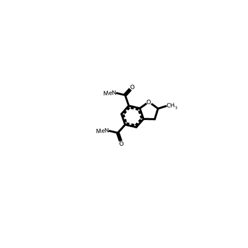 CNC(=O)c1cc2c(c(C(=O)NC)c1)OC(C)C2